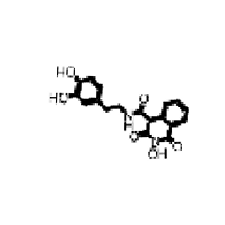 O=C(NCCc1ccc(O)c(O)c1)C1C(=O)N(O)C(=O)c2ccccc21